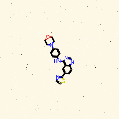 c1csc(-c2ccc3ncnc(Nc4ccc(N5CCOCC5)cc4)c3c2)n1